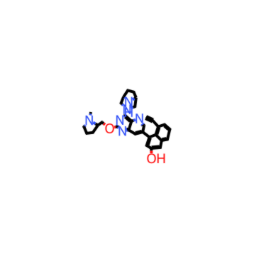 C#Cc1cccc2cc(O)cc(-c3cnc4c(N5CC6CCC(C5)N6)nc(OCC5CCCN5C)nc4c3)c12